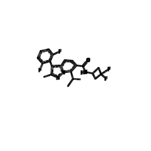 Cc1nn2c(C(C)C)c(C(=O)NC3CC(F)(F)C3)ccc2c1-c1c(F)cccc1F